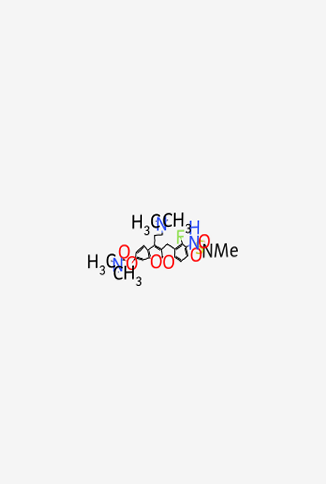 CNS(=O)(=O)Nc1cccc(Cc2c(CCN(C)C)c3ccc(OC(=O)N(C)C)cc3oc2=O)c1F